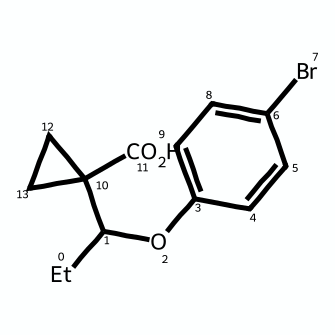 CCC(Oc1ccc(Br)cc1)C1(C(=O)O)CC1